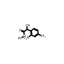 CC(C)OC(=O)C(C#N)c1ccc(C(F)(F)F)cc1[N+](=O)[O-]